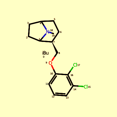 CC[C@H](C)C12CCC(CC[C@H]1COc1cccc(Cl)c1Cl)N2C